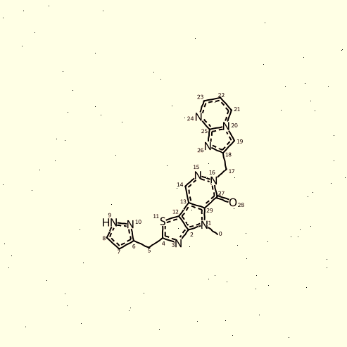 Cn1c2nc(Cc3cc[nH]n3)sc2c2cnn(Cc3cn4cccnc4n3)c(=O)c21